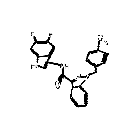 O=C(Nc1c[nH]c2cc(F)c(F)cc12)C1=NN(Cc2ccc(C(F)(F)F)cc2)C2C=CC=CC12